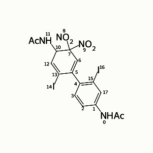 CC(=O)Nc1ccc(C2=CC([N+](=O)[O-])([N+](=O)[O-])C(NC(C)=O)C=C2I)c(I)c1